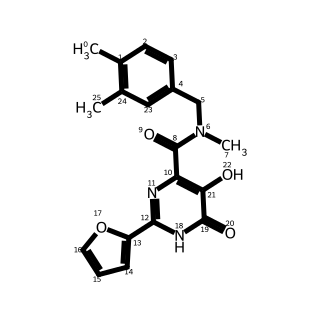 Cc1ccc(CN(C)C(=O)c2nc(-c3ccco3)[nH]c(=O)c2O)cc1C